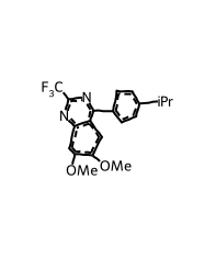 COc1cc2nc(C(F)(F)F)nc(-c3ccc(C(C)C)cc3)c2cc1OC